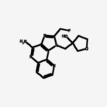 Nc1nc2cccnc2c2c1nc(CF)n2CC1(O)CCOC1